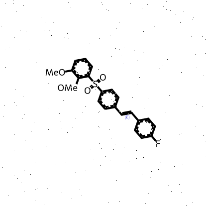 COc1cccc(S(=O)(=O)c2ccc(/C=C/c3ccc(F)cc3)cc2)c1OC